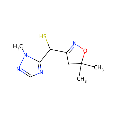 Cn1ncnc1C(S)C1=NOC(C)(C)C1